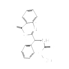 CC(C)(C)OC(=O)NC(c1ccccc1)c1nc2ccccc2c(=O)o1